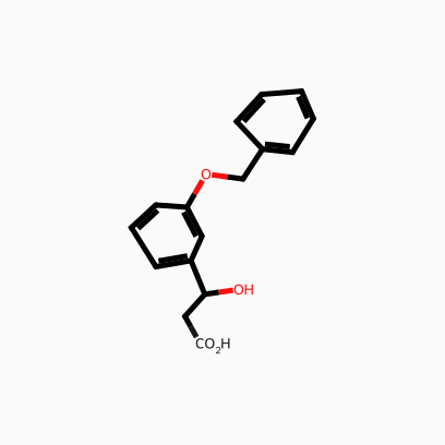 O=C(O)CC(O)c1cccc(OCc2ccccc2)c1